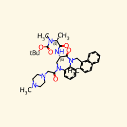 Cc1ccc2ccccc2c1CN1C(=O)[C@@H](NC(=O)[C@H](C)N(C)C(=O)OC(C)(C)C)CN(C(=O)CN2CCN(C)CC2)c2ccccc21